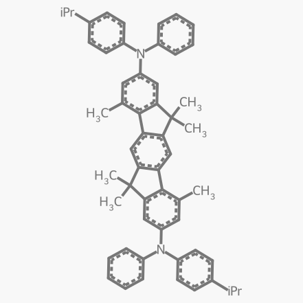 Cc1cc(N(c2ccccc2)c2ccc(C(C)C)cc2)cc2c1-c1cc3c(cc1C2(C)C)-c1c(C)cc(N(c2ccccc2)c2ccc(C(C)C)cc2)cc1C3(C)C